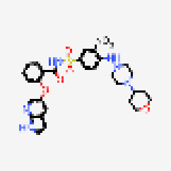 O=C(NS(=O)(=O)c1ccc(NN2CCN(C3CCOCC3)CC2)c([N+](=O)[O-])c1)c1ccccc1Oc1cnc2[nH]ccc2c1